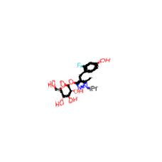 Cc1c(Cc2ccc(O)cc2F)c(O[C@@H]2O[C@H](CO)[C@@H](O)[C@H](O)[C@H]2O)nn1C(C)C